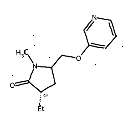 CC[C@H]1CC(COc2cccnc2)N(C)C1=O